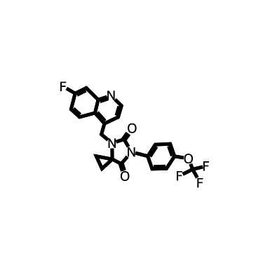 O=C1N(c2ccc(OC(F)(F)F)cc2)C(=O)C2(CC2)N1Cc1ccnc2cc(F)ccc12